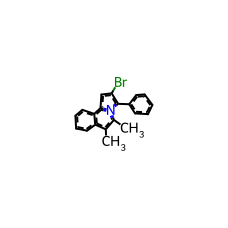 Cc1c(C)n2c(-c3ccccc3)c(Br)cc2c2ccccc12